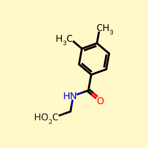 Cc1ccc(C(=O)NCC(=O)O)cc1C